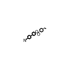 CC[C@H]1CC[C@H](C(=O)Oc2ccc(-c3ccc(C#N)cc3)cc2)CC1